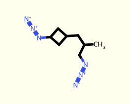 CC(CN=[N+]=[N-])CC1CC(N=[N+]=[N-])C1